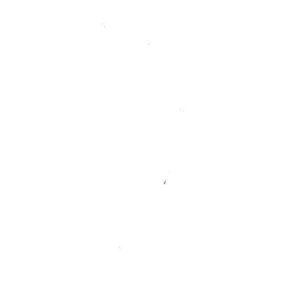 Cn1c2ccncc2c2ccc(-c3ccc(O[C@H]4C[C@H](OCCOc5ccc(F)nc5)C4)nc3)cc21